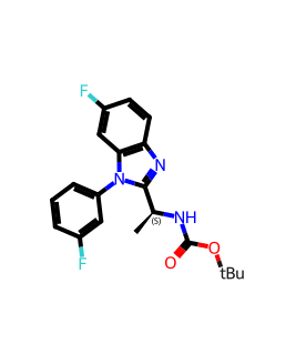 C[C@H](NC(=O)OC(C)(C)C)c1nc2ccc(F)cc2n1-c1cccc(F)c1